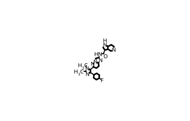 Cc1nc(-c2ccc(F)cc2)c(-c2ccc3nc(NC(=O)c4c[nH]c5ccncc45)cn3n2)n1C